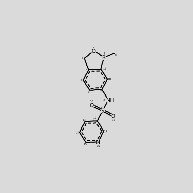 CB1OCc2ccc(NS(=O)(=O)c3cccnc3)cc21